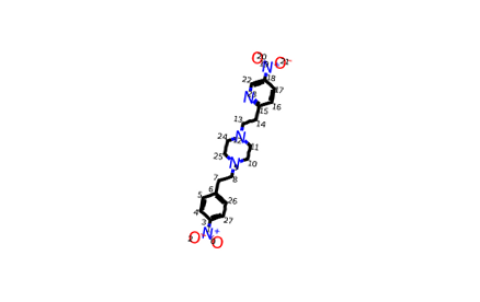 O=[N+]([O-])c1ccc(CCN2CCN(CCc3ccc([N+](=O)[O-])cn3)CC2)cc1